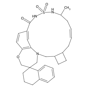 CC1CC=CCC2CCC2CN2CC3(CCCc4ccccc43)COc3ccc(cc32)C(=O)NS(=O)(=O)N1